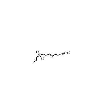 CC=C[Si](CC)(CC)CCC=NCCCCCCCCCC